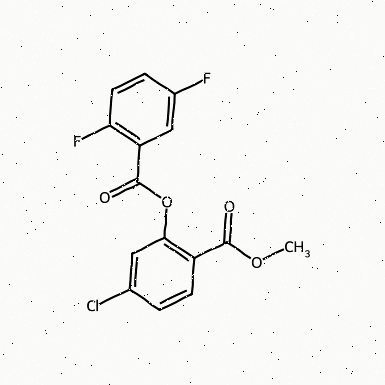 COC(=O)c1ccc(Cl)cc1OC(=O)c1cc(F)ccc1F